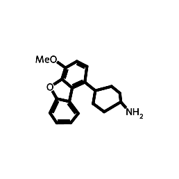 COc1ccc(C2CCC(N)CC2)c2c1oc1ccccc12